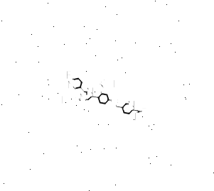 COc1cc(OCc2ccc(C(F)(F)F)nc2)ccc1-c1cn(C)c(-c2ccc(F)nc2)n1